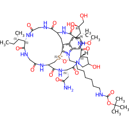 CC[C@H](C)[C@@H]1NC(=O)CNC(=O)C2Cc3c(n(CCCCCCCCNC(=O)OC(C)(C)C)c4cc(OC)ccc34)[S@+]([O-])CC(NC(=O)CNC1=O)C(=O)N[C@@H](CC(N)=O)C(=O)N1CC(O)C[C@H]1C(=O)N[C@@H]([C@@H](C)[C@@H](O)CO)C(=O)N2